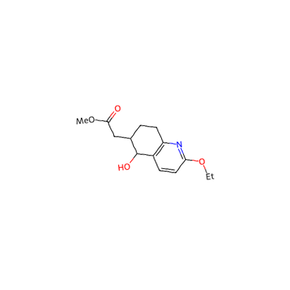 CCOc1ccc2c(n1)CCC(CC(=O)OC)C2O